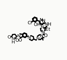 CCC12CNc3nnc(-c4cccc(Cl)c4O)cc3N1CCN(C(=O)N1CCN(CC3CCN(c4ccc5c(c4)C(=O)N([C@H]4CCC(=O)NC4=O)C5)CC3)CC1(C)C)C2